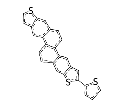 c1csc(-c2cc3cc4c(ccc5c6cc7ccsc7cc6ccc45)cc3s2)c1